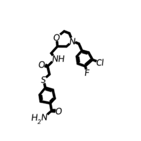 NC(=O)c1ccc(SCC(=O)NCC2CN(Cc3ccc(F)c(Cl)c3)CCO2)cc1